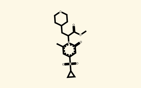 COC(=O)C(CC1CCOCC1)n1c(C)cc(S(=O)(=O)C2CC2)cc1=O